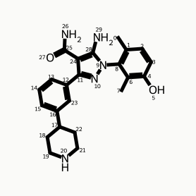 Cc1ccc(O)c(C)c1-n1nc(-c2cccc(C3CCNCC3)c2)c(C(N)=O)c1N